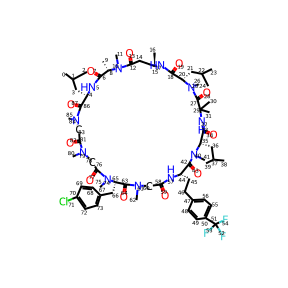 CC(C)C[C@@H]1NC(=O)[C@H](C)N(C)C(=O)C[C@@H](C)NC(=O)[C@H](CC(C)C)N(C)C(=O)C(C)(C)NC(=O)[C@H](CC(C)C)N(C)C(=O)[C@H](CCc2ccc(C(F)(F)F)cc2)NC(=O)CN(C)C(=O)[C@H](Cc2ccc(Cl)cc2)N(C)C(=O)CN(C)C(=O)CN(C)C1=O